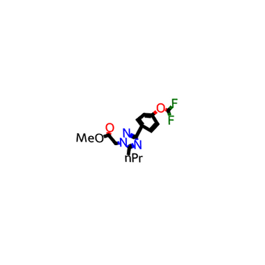 CCCc1nc(-c2ccc(OC(F)F)cc2)nn1CC(=O)OC